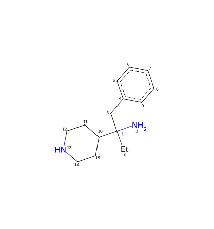 CCC(N)(Cc1ccccc1)C1CCNCC1